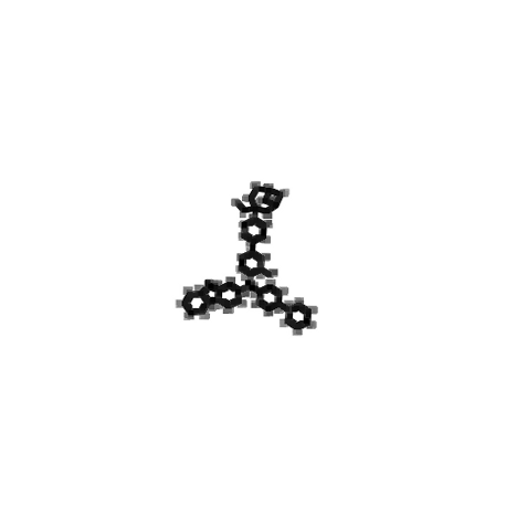 CCC1(c2ccc(-c3ccc(N(c4ccc(-c5ccccc5)cc4)c4ccc5c(c4)sc4ccccc45)c(C)c3)cc2)CCC2CC(C2)C1